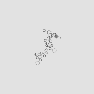 CC(OC(=O)OC1CCCCC1)OC(=O)c1cc(-c2cnc([C@@H]3CCc4nc(-c5cc(Cl)ccc5N(N)/C=N\N)cc(=O)n43)n2C(=O)OC2CCCCC2)cs1